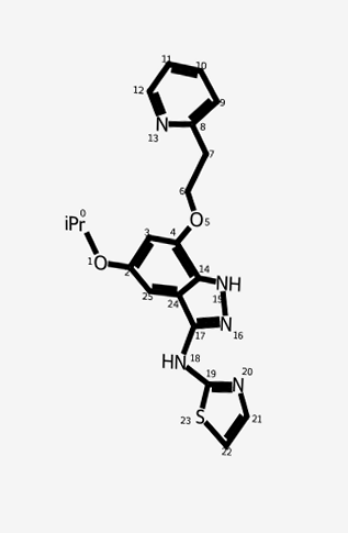 CC(C)Oc1cc(OCCc2ccccn2)c2[nH]nc(Nc3nccs3)c2c1